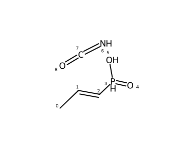 CC=C[PH](=O)O.N=C=O